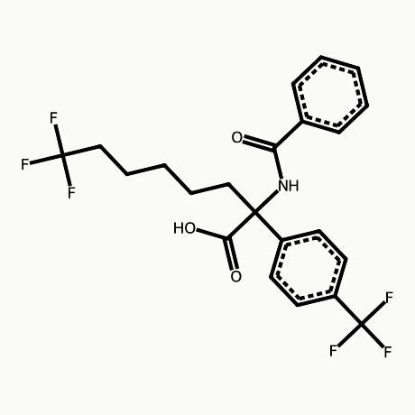 O=C(NC(CCCCCC(F)(F)F)(C(=O)O)c1ccc(C(F)(F)F)cc1)c1ccccc1